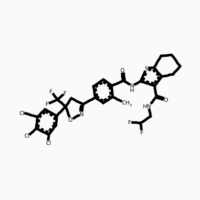 Cc1cc(C2=NOC(c3cc(Cl)c(Cl)c(Cl)c3)(C(F)(F)F)C2)ccc1C(=O)Nc1sc2c(c1C(=O)NCC(F)F)CCCC2